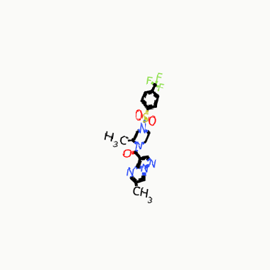 Cc1cnc2c(C(=O)N3CCN(S(=O)(=O)c4ccc(C(F)(F)F)cc4)C[C@@H]3C)cnn2c1